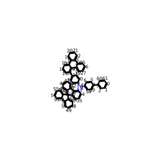 c1ccc(-c2ccc(N(c3ccc(-c4cccc5c6ccccc6c6ccccc6c45)cc3)c3cccc4c3-c3ccccc3C43c4ccccc4-c4ccccc43)cc2)cc1